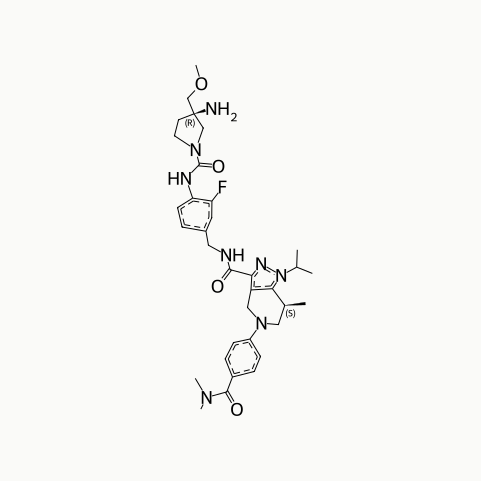 COC[C@@]1(N)CCN(C(=O)Nc2ccc(CNC(=O)c3nn(C(C)C)c4c3CN(c3ccc(C(=O)N(C)C)cc3)C[C@@H]4C)cc2F)C1